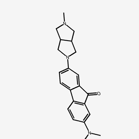 CN1CC2CN(c3ccc4c(c3)C(=O)c3cc(N(C)C)ccc3-4)CC2C1